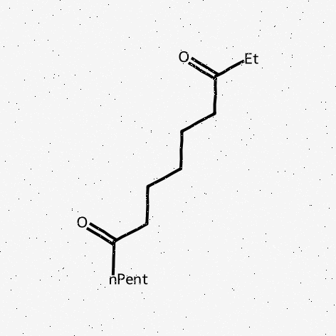 CCCCCC(=O)CCCCCC(=O)CC